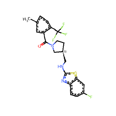 Cc1ccc(C(F)(F)F)c(C(=O)N2CC[C@@H](CNc3nc4ccc(F)cc4s3)C2)c1